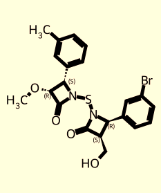 CO[C@H]1C(=O)N(SN2C(=O)[C@H](CO)[C@@H]2c2cccc(Br)c2)[C@H]1c1cccc(C)c1